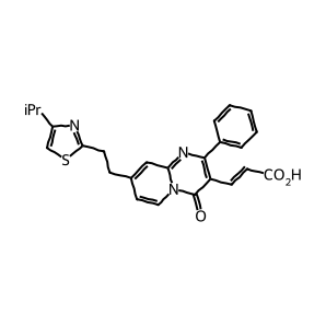 CC(C)c1csc(CCc2ccn3c(=O)c(C=CC(=O)O)c(-c4ccccc4)nc3c2)n1